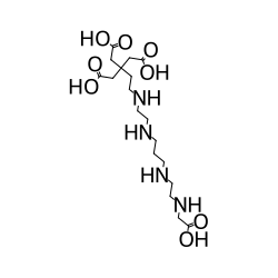 O=C(O)CNCCNCCCNCCNCCC(CC(=O)O)(CC(=O)O)CC(=O)O